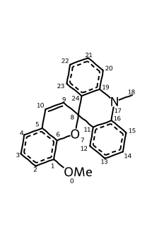 COc1cccc2c1OC1(C=C2)c2ccccc2N(C)c2ccccc21